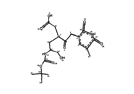 Cc1cn(CC(=O)N(CC(=O)O)CC(CO)NC(=O)OC(C)(C)C)c(=O)[nH]c1=O